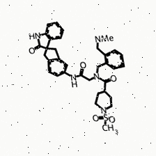 CNCc1ccccc1CN(CC(=O)Nc1ccc2c(c1)CC1(C2)C(=O)Nc2ccccc21)C(=O)C1CCN(S(C)(=O)=O)CC1